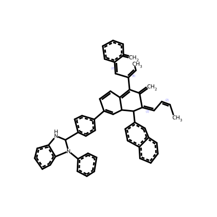 C=C1C(C(/C=c2/ccccc2=C)=C/C)=C2C=CC(c3ccc(C4Nc5ccccc5N4c4ccccc4)cc3)=CC2C(c2ccc3ccccc3c2)/C1=C/C=C\C